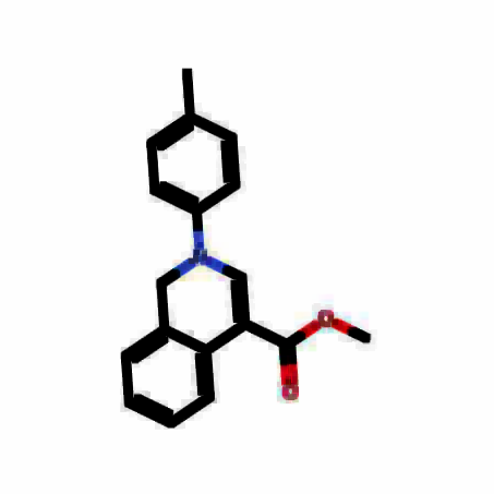 COC(=O)C1=CN(c2ccc(C)cc2)Cc2ccccc21